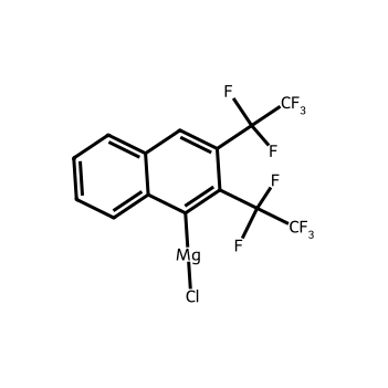 FC(F)(F)C(F)(F)c1cc2ccccc2[c]([Mg][Cl])c1C(F)(F)C(F)(F)F